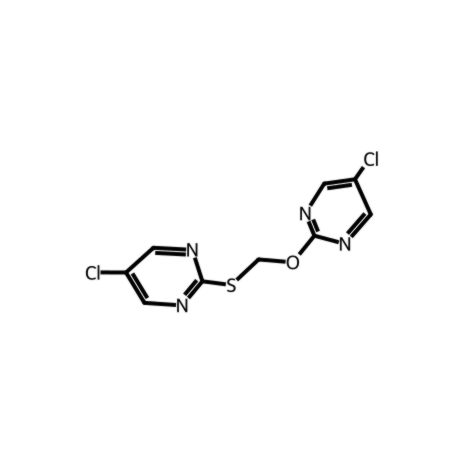 Clc1cnc(OCSc2ncc(Cl)cn2)nc1